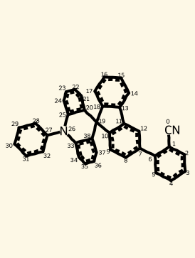 N#Cc1ccccc1-c1ccc2c(c1)-c1ccccc1C21c2ccccc2N(c2ccccc2)c2ccccc21